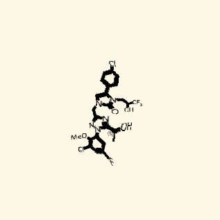 COc1c(Cl)cc(F)cc1-n1nc(Cn2cc(-c3ccc(Cl)cc3)n(CC(O)C(F)(F)F)c2=O)nc1[C@H](C)O